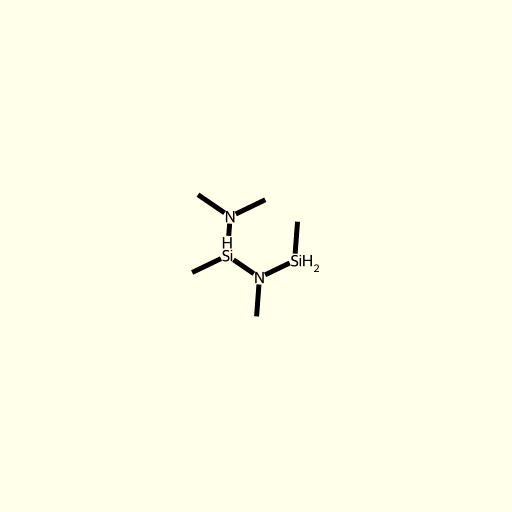 C[SiH2]N(C)[SiH](C)N(C)C